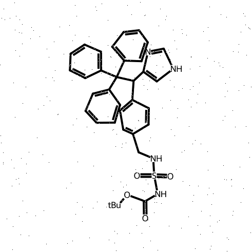 CC(C)(C)OC(=O)NS(=O)(=O)NCc1ccc(C(c2c[nH]cn2)C(c2ccccc2)(c2ccccc2)c2ccccc2)cc1